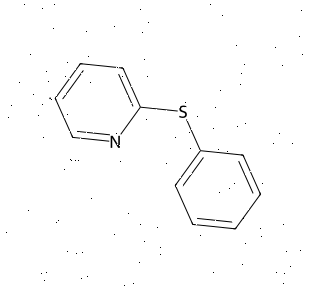 [c]1ccc(Sc2ccccc2)nc1